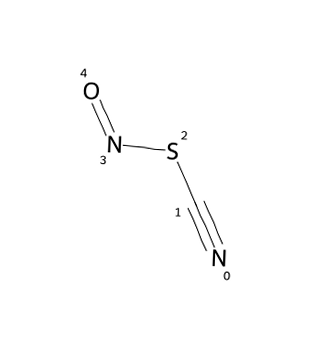 N#CSN=O